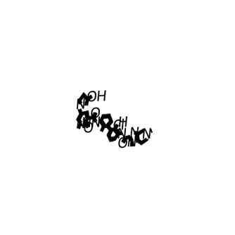 Cc1c(NC(=O)c2cc(CN3CCC(O)C3)cn(C)c2=O)cccc1-c1cccc(NC(=O)c2nc3c(n2C)CCN(C)C3)c1Cl